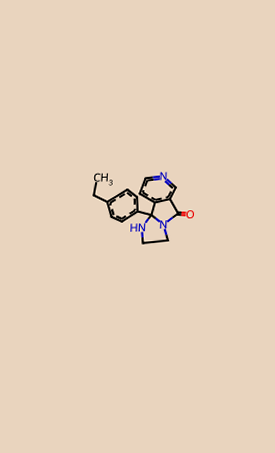 CCc1ccc(C23NCCN2C(=O)c2cnccc23)cc1